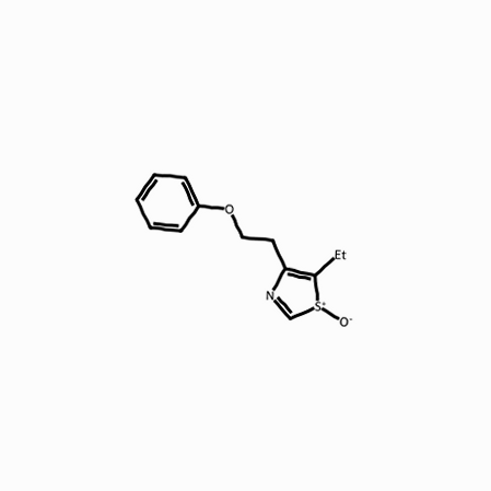 CCc1c(CCOc2ccccc2)nc[s+]1[O-]